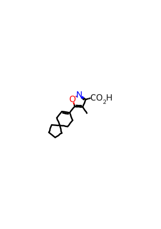 Cc1c(C(=O)O)noc1C1=CCC2(CCCC2)CC1